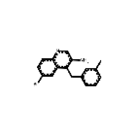 Cc1cccc(Cc2c(N)cnc3ccc(Br)cc23)c1